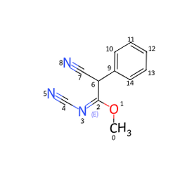 CO/C(=N/C#N)C(C#N)c1ccccc1